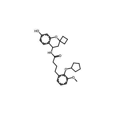 COc1cccc(CCCC(=O)NC2CC3(CCC3)Oc3cc(O)ccc32)c1OC1CCCC1